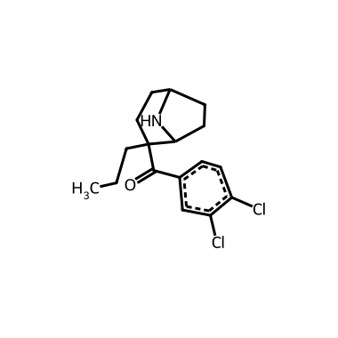 CCCC1(C(=O)c2ccc(Cl)c(Cl)c2)CCC2CCC1N2